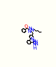 CCCCCn1nc(C(=O)c2ccccc2)nc1Cc1ccc(-c2ccccc2-c2nnn[nH]2)nc1